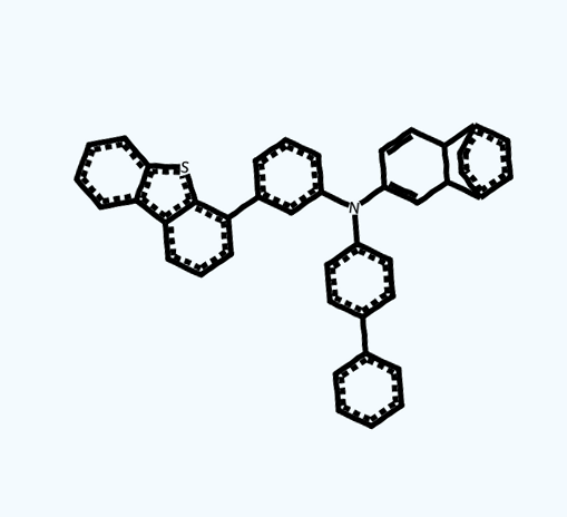 C1=CC2c3ccc(cc3)C2C=C1N(c1ccc(-c2ccccc2)cc1)c1cccc(-c2cccc3c2sc2ccccc23)c1